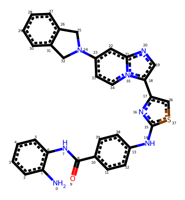 Nc1ccccc1NC(=O)c1ccc(Nc2nc(-c3cnc4cc(N5Cc6ccccc6C5)ccn34)cs2)cc1